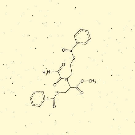 COC(=O)C(CSC(=O)c1ccccc1)N(CCSC(=O)c1ccccc1)C(=O)C(N)=O